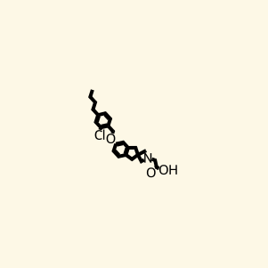 CCCCc1ccc(COc2ccc3c(c2)CC2(C3)CN(CC(=O)O)C2)c(Cl)c1